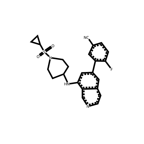 N#Cc1ccc(F)c(-c2cc(NC3CCN(S(=O)(=O)C4CC4)CC3)c3cnccc3c2)c1